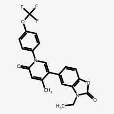 CCn1c(=O)oc2ccc(-c3cn(-c4ccc(OC(F)(F)F)cc4)c(=O)cc3C)cc21